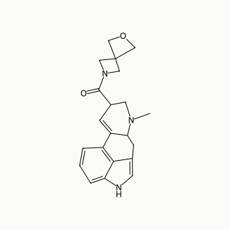 CN1CC(C(=O)N2CC3(COC3)C2)C=C2c3cccc4[nH]cc(c34)CC21